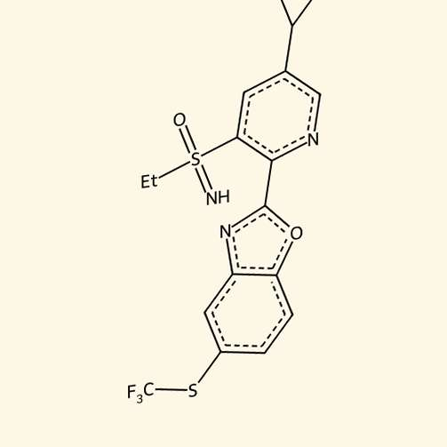 CCS(=N)(=O)c1cc(C2CC2)cnc1-c1nc2cc(SC(F)(F)F)ccc2o1